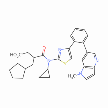 Cn1ccc2ncc(-c3ccccc3-c3csc(N(C(=O)C(CC(=O)O)CC4CCCC4)C4CC4)n3)cc21